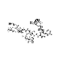 Cc1cc(CNC[C@H](O)c2ccc(O)c3[nH]c(=O)ccc23)ccc1NC(=O)CCCc1ccc(-c2ccccc2)c(NC(=O)OC2CC[N+](C)(C)CC2)c1.O=C([O-])C(F)(F)F